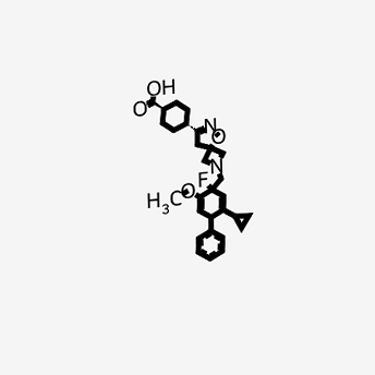 COC1=CC(c2ccccc2)C(C2CC2)=CC1(F)CN1CC2(CC([C@H]3CC[C@H](C(=O)O)CC3)=NO2)C1